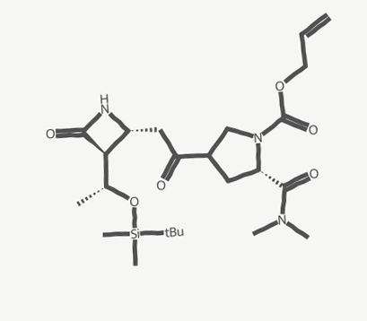 C=CCOC(=O)N1CC(C(=O)C[C@H]2NC(=O)[C@@H]2[C@@H](C)O[Si](C)(C)C(C)(C)C)C[C@H]1C(=O)N(C)C